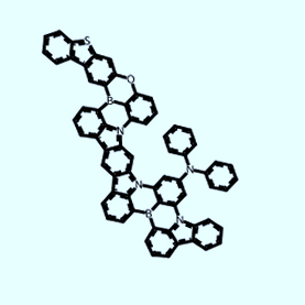 c1ccc(N(c2ccccc2)c2cc3c4c(c2)-n2c5cc6c(cc5c5cccc(c52)B4c2cccc4c5ccccc5n-3c24)c2cccc3c2n6-c2cccc4c2B3c2cc3c(cc2O4)sc2ccccc23)cc1